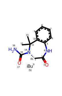 CC[C@H](C)[C@H]1C(=O)Nc2ccccc2C(C)(C)N1C(N)=O